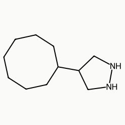 C1CCCC(C2CNNC2)CCC1